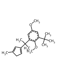 COc1cc(C(C)(C)C)c(OC)c(C(C)(C)C2=CCC(C)=C2)c1